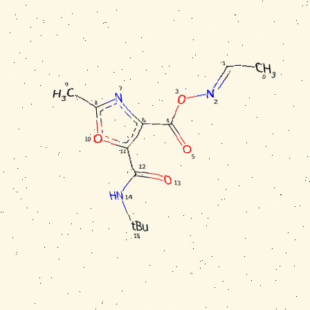 CC=NOC(=O)c1nc(C)oc1C(=O)NC(C)(C)C